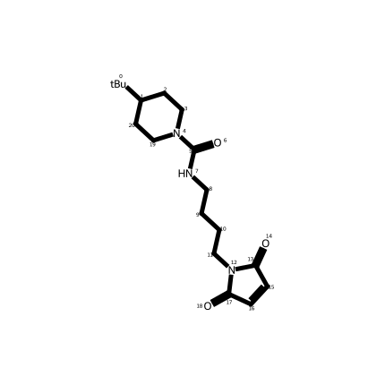 CC(C)(C)C1CCN(C(=O)NCCCCN2C(=O)C=CC2=O)CC1